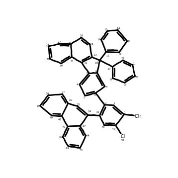 Clc1cc(-c2ccc3c(c2)C(c2ccccc2)(c2ccccc2)c2ccc4ccccc4c2-3)c(-c2cc3ccccc3c3ccccc23)cc1Cl